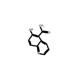 CC(=O)c1c(O)ccc2ncccc12